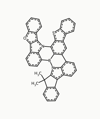 CC1(C)c2ccccc2-c2c1n1c3c(cccc23)-c2cc3c(sc4ccccc43)c3c2B1c1cccc2c4oc5ccccc5c4n-3c12